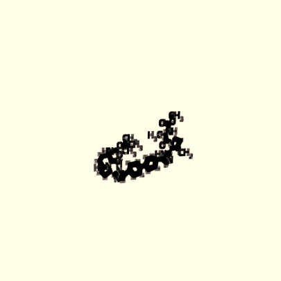 C=C1CCN(C(=O)[C@H](C)NC(=O)OC)[C@@H]1c1ncc(-c2ccc(-c3ccc(-c4cnc([C@@H]5CC[C@@H]6CC[C@H](NC(=O)OC(C)(C)C)C(=O)N65)[nH]4)cc3)cc2)[nH]1